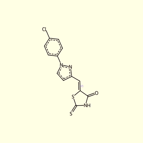 O=C1NC(=S)S/C1=C\c1ccn(-c2ccc(Cl)cc2)n1